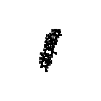 CC1=C2C[C@H]3[C@@H](CC[C@@H]4Cc5[nH]ncc5C[C@@]43C)[C@@H]2CC[C@@]2(C1)O[C@@H]1C[C@H](C)CC[C@H]1[C@H]2C